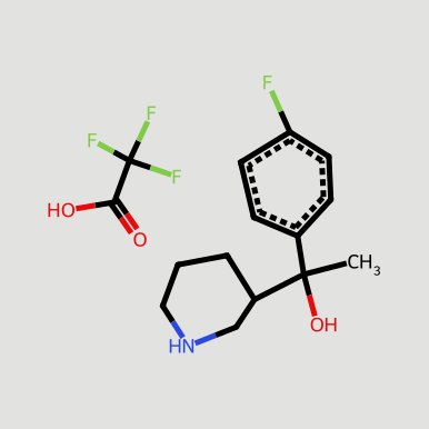 CC(O)(c1ccc(F)cc1)C1CCCNC1.O=C(O)C(F)(F)F